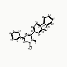 C=N/C(=N\C(=N/CCl)c1ccccc1)c1ccc2c(c1)oc1ccccc12